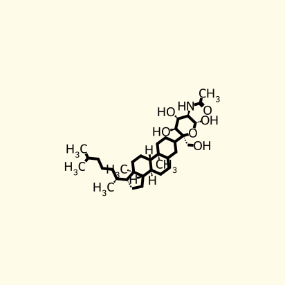 CC(=O)N[C@@H]1[C@@H](O)[C@H](O)[C@](CO)(C2CC[C@@]3(C)C(CC[C@H]4[C@@H]5CC[C@H]([C@H](C)CCCC(C)C)[C@@]5(C)CC[C@@H]43)C2)O[C@H]1O